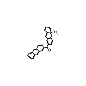 CC12C=CC=CC1=Cc1cc(C(=O)c3ccc4cc5ccccc5cc4c3)ccc1C2